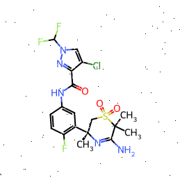 CC1(C)C(N)=N[C@](C)(c2cc(NC(=O)c3nn(C(F)F)cc3Cl)ccc2F)CS1(=O)=O